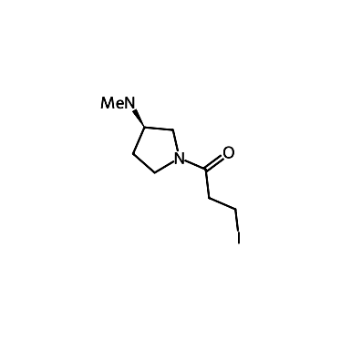 CN[C@@H]1CCN(C(=O)CCI)C1